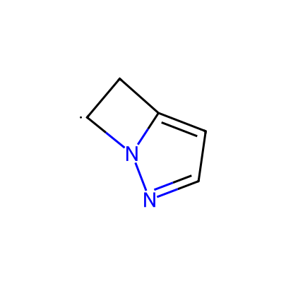 [CH]1Cc2ccnn21